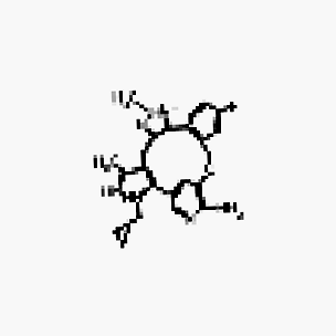 CN/N=C1/C/C(C(C)=N)=C(/NCC2CC2)c2cnc(N)c(c2)OCc2cc(F)ccc2C1=N